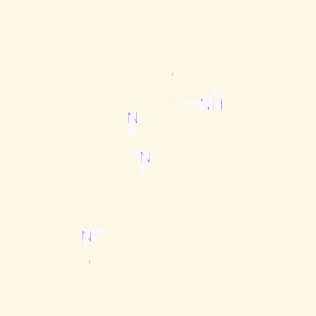 CON=Cc1ccc2nc(C(=O)Nc3ccccc3)cn2c1